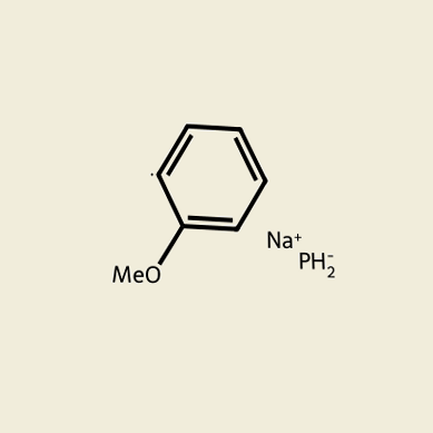 COc1[c]cccc1.[Na+].[PH2-]